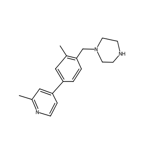 Cc1cc(-c2ccc(CN3CCNCC3)c(C)c2)ccn1